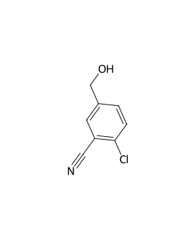 N#Cc1cc(CO)ccc1Cl